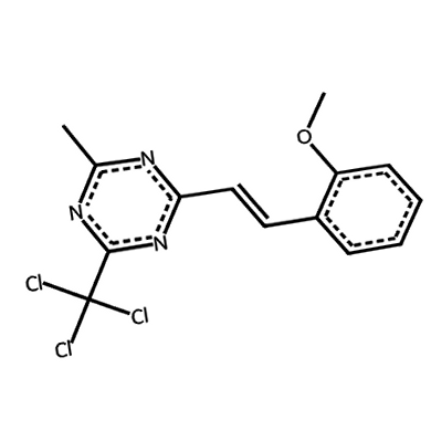 COc1ccccc1/C=C/c1nc(C)nc(C(Cl)(Cl)Cl)n1